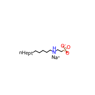 CCCCCCCCCCCCNCCS(=O)(=O)[O-].[Na+]